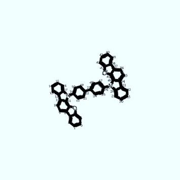 c1ccc2c(c1)oc1c2ccc2c3ccccc3n(-c3ccc(-c4ccc(-n5c6ccccc6c6ccc7c8ccccc8oc7c65)cc4)cc3)c21